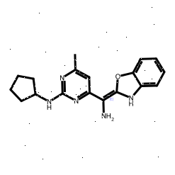 Cc1cc(/C(N)=C2/Nc3ccccc3O2)nc(NC2CCCC2)n1